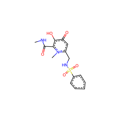 CNC(=O)c1c(O)c(=O)cc(CNS(=O)(=O)c2ccccc2)n1C